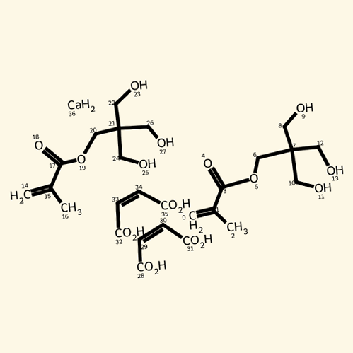 C=C(C)C(=O)OCC(CO)(CO)CO.C=C(C)C(=O)OCC(CO)(CO)CO.O=C(O)/C=C\C(=O)O.O=C(O)/C=C\C(=O)O.[CaH2]